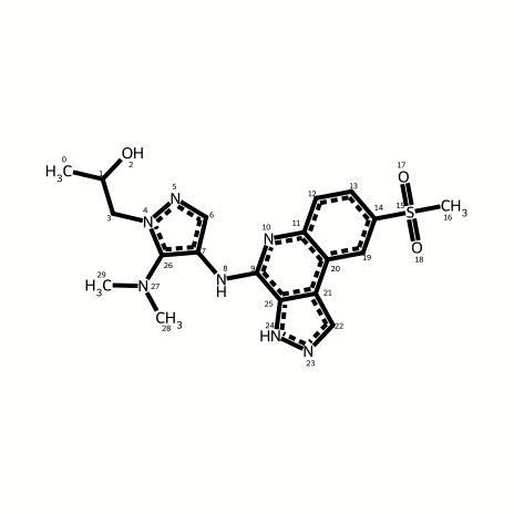 CC(O)Cn1ncc(Nc2nc3ccc(S(C)(=O)=O)cc3c3cn[nH]c23)c1N(C)C